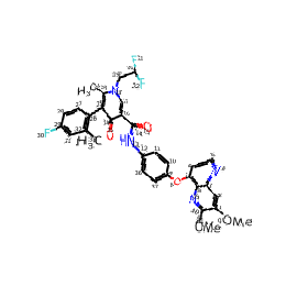 COc1cc2nccc(Oc3ccc(NC(=O)c4cn(CC(F)F)c(C)c(-c5ccc(F)cc5C)c4=O)cc3)c2nc1OC